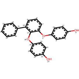 Oc1ccc(Oc2cccc(-c3ccccc3)c2Oc2ccc(O)cc2)cc1